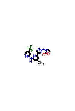 Cc1cc(Nc2cc(C(F)(F)F)ccn2)nc(-c2cnn(CN3CCOC3=O)c2)c1